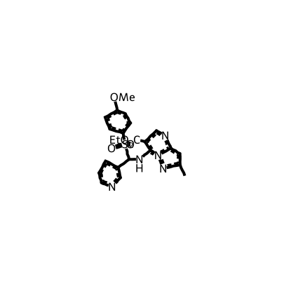 CCOC(=O)c1cnc2cc(C)nn2c1NC(c1cccnc1)S(=O)(=O)c1ccc(OC)cc1